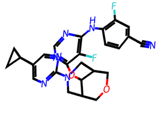 N#Cc1ccc(Nc2ncnc(OC3C4COCC3CN(c3ncc(C5CC5)cn3)C4)c2F)c(F)c1